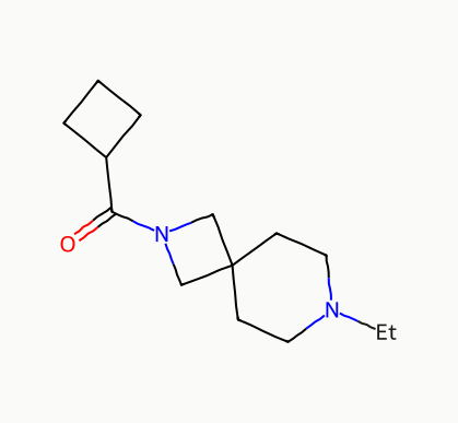 CCN1CCC2(CC1)CN(C(=O)C1CCC1)C2